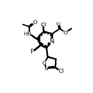 COC(=O)c1nc(C2CC(Cl)=NO2)c(F)c(NC(C)=O)c1Cl